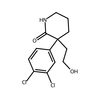 O=C1NCCCC1(CCO)c1ccc(Cl)c(Cl)c1